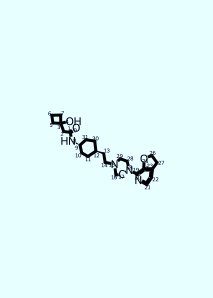 O=C(CC1(O)CCC1)N[C@H]1CC[C@H](CCN2CCN(c3nccc4c3OCC4)CC2)CC1